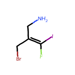 NCC(CBr)=C(F)I